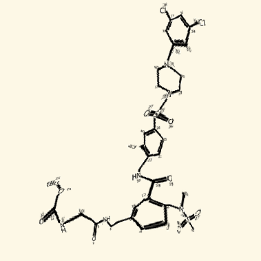 CN(c1ccc(CNC(=O)CNC(=O)OC(C)(C)C)cc1C(=O)Nc1ccc(S(=O)(=O)N2CCN(c3cc(Cl)cc(Cl)c3)CC2)cc1)S(C)(=O)=O